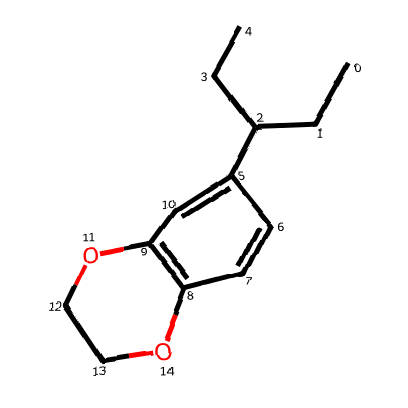 CCC(CC)c1ccc2c(c1)OCCO2